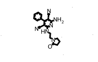 N#Cc1c(N)nc(NCCN2CCCC2=O)c(C#N)c1-c1ccccc1